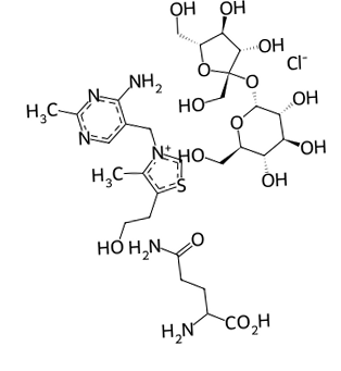 Cc1ncc(C[n+]2csc(CCO)c2C)c(N)n1.NC(=O)CCC(N)C(=O)O.OC[C@H]1O[C@@](CO)(O[C@H]2O[C@H](CO)[C@@H](O)[C@H](O)[C@H]2O)[C@@H](O)[C@@H]1O.[Cl-]